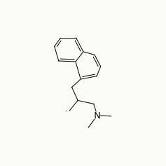 [CH2]C(Cc1cccc2ccccc12)CN(C)C